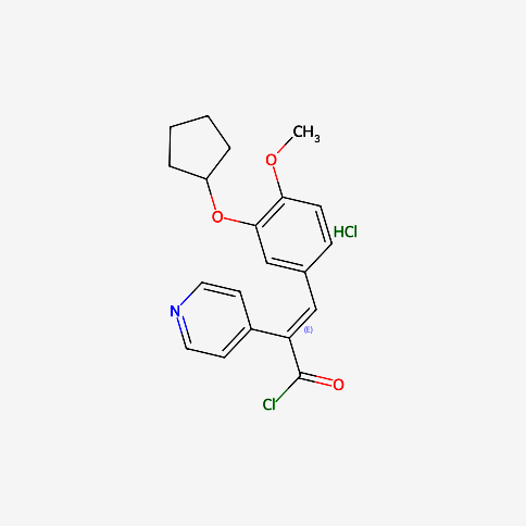 COc1ccc(/C=C(/C(=O)Cl)c2ccncc2)cc1OC1CCCC1.Cl